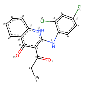 CC(C)CC(=O)c1c(Nc2ccc(Cl)cc2Cl)[nH]c2ccccc2c1=O